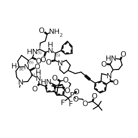 CN1CC[C@H]2CC[C@@H](C(=O)N[C@@H](CCC(N)=O)C(=O)N[C@H](C(=O)N3CCC(CCC#Cc4cccc5c4CN(C4CCC(=O)NC4=O)C5=O)CC3)c3ccccc3)N2C(=O)[C@@H](NC(=O)c2cc3cc(C(F)(F)P(=O)(OCOC(=O)C(C)(C)C)OCOC(=O)C(C)(C)C)ccc3[nH]2)C1